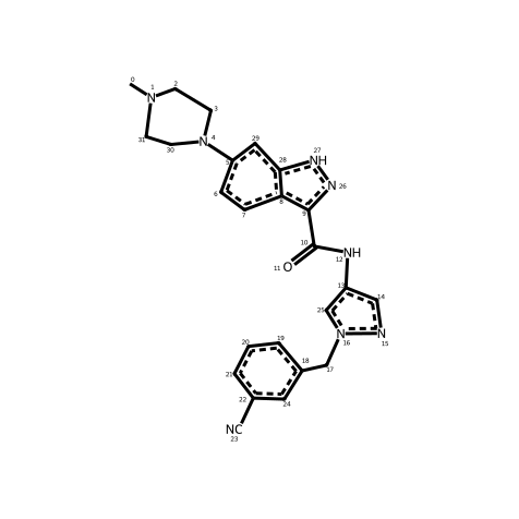 CN1CCN(c2ccc3c(C(=O)Nc4cnn(Cc5cccc(C#N)c5)c4)n[nH]c3c2)CC1